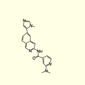 CN(C)c1cc(C(=O)Nc2cc3cc(-c4cncn4C)ccc3cn2)ccn1